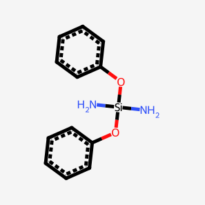 N[Si](N)(Oc1ccccc1)Oc1ccccc1